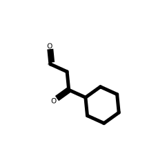 O=[C]CC(=O)C1CCCCC1